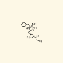 N#CCC(=O)N1C[C@H](OC(=O)N[C@@H](Cc2ccccc2)B(O)O)[C@@H](F)C1